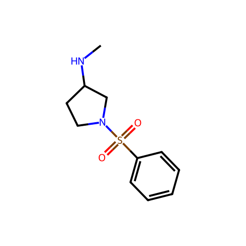 CNC1CCN(S(=O)(=O)c2ccccc2)C1